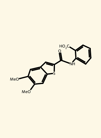 COc1cc2cc(C(=O)Nc3ccccc3C(=O)O)sc2cc1OC